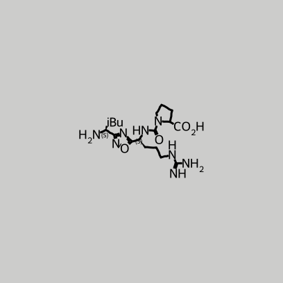 CCC(C)[C@H](N)c1noc([C@H](CCCNC(=N)N)NC(=O)N2CCCC2C(=O)O)n1